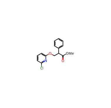 COC(=O)C(COc1cccc(Cl)n1)c1ccccc1